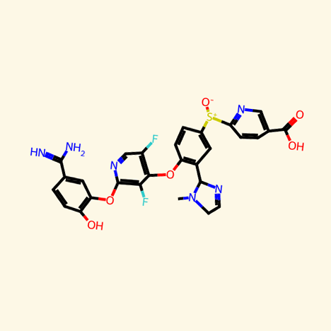 CN1CC=NC1c1cc([S+]([O-])c2ccc(C(=O)O)cn2)ccc1Oc1c(F)cnc(Oc2cc(C(=N)N)ccc2O)c1F